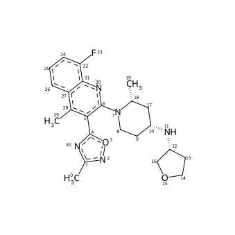 Cc1noc(-c2c(N3CC[C@@H](N[C@@H]4CCOC4)C[C@H]3C)nc3c(F)cccc3c2C)n1